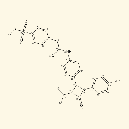 CCS(=O)(=O)c1ccc(CC(=O)Nc2ccc(C3C(C(C)C)C(=O)N3c3ccc(F)cc3)cc2)cc1